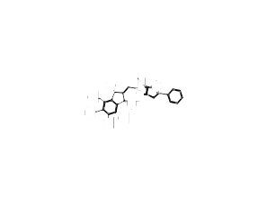 O=C1C(=Cc2nc3oc(-c4ccccc4)cc3s2)C(=O)c2c(Cl)c(Cl)c(Cl)c(Cl)c21